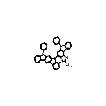 Cc1nc2c3c4ccccc4n(-c4ccccc4)c3cc3c2n1-c1cccc2c1B3c1cc3c(cc1-2)c1ccccc1n3-c1ccccc1